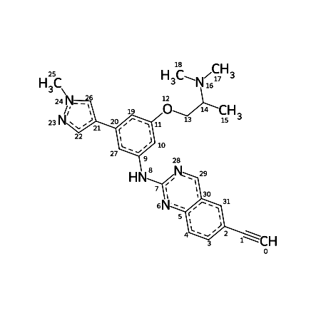 C#Cc1ccc2nc(Nc3cc(OCC(C)N(C)C)cc(-c4cnn(C)c4)c3)ncc2c1